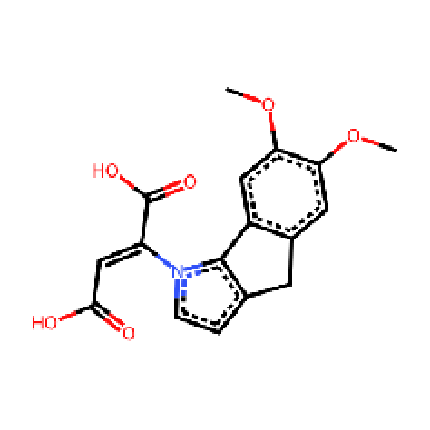 COc1cc2c(cc1OC)-c1c(ccn1/C(=C\C(=O)O)C(=O)O)C2